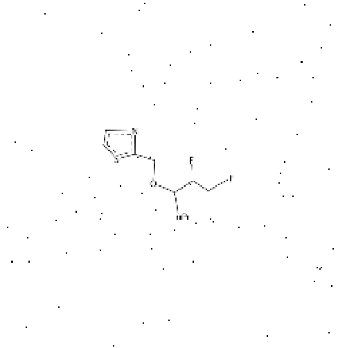 CCCC(OCc1nccs1)C(F)CF